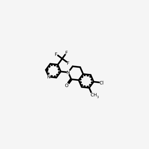 Cc1cc2c(cc1Cl)CCN(c1cnccc1C(F)(F)F)C2=O